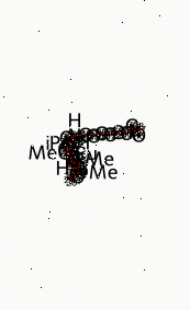 CC[C@H](C)[C@@H]([C@@H](CC(=O)N1CCC[C@H]1[C@H](OC)[C@@H](C)C(=S)N[C@@H](Cc1ccccc1)C(=O)OC)OC)N(C)C(=O)[C@@H](NC(=O)C(C)(C)NC(=O)CCOCCOCCOCCOCCOCCOCCN1C(=O)C=CC1=O)C(C)C